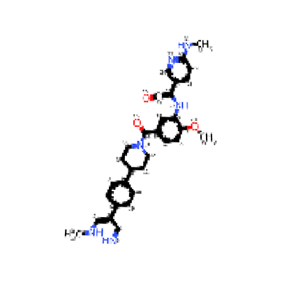 CN/C=C(\C=N)c1ccc(C2CCN(C(=O)c3ccc(OC)c(NC(=C=O)c4ccc(NC)nc4)c3)CC2)cc1